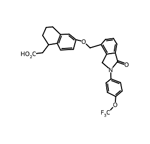 O=C(O)CC1CCCc2cc(OCc3cccc4c3CN(c3ccc(OC(F)(F)F)cc3)C4=O)ccc21